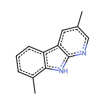 Cc1cnc2[nH]c3c(C)cccc3c2c1